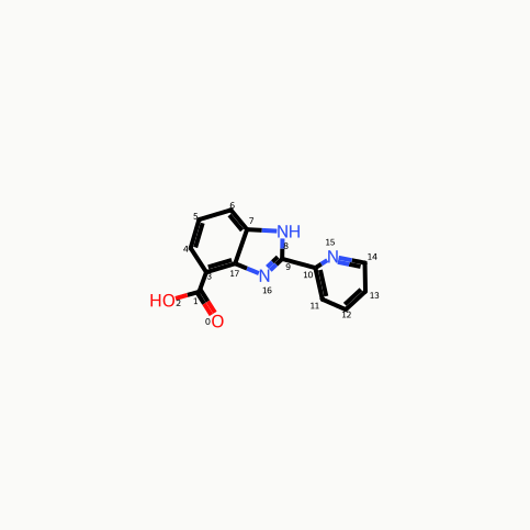 O=C(O)c1cccc2[nH]c(-c3ccccn3)nc12